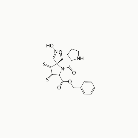 O=C[C@]1(C=NO)C(=S)C(=S)C(C(=O)OCc2ccccc2)N1C(=O)[C@@H]1CCCN1